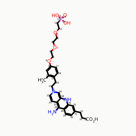 Cc1cc(OCCOCCOCCP(=O)(O)O)ccc1CCN1C=CC2=C(N)c3ccc(CCC(=O)O)cc3NC2=C1